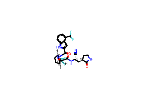 N#C[C@H](C[C@H]1CCNC1=O)NC(=O)[C@H]1[C@H]2CC[C@H](CC2(F)F)N1C(=O)c1cc2c(C(F)F)cccc2[nH]1